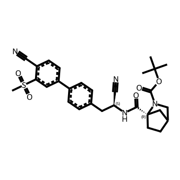 CC(C)(C)OC(=O)N1CC2CC[C@]1(C(=O)N[C@H](C#N)Cc1ccc(-c3ccc(C#N)c(S(C)(=O)=O)c3)cc1)C2